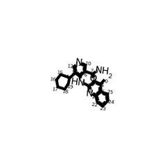 Cc1cc(Nc2c(C(N)=O)cncc2C2CCCCC2)nc2ccccc12